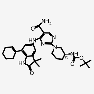 CC(C)(C)OC(=O)N[C@H]1CCCN(c2ncc(C(N)=O)c(Nc3cc(C4=CCCCC4)c4c(c3)C(C)(C)C(=O)N4)n2)C1